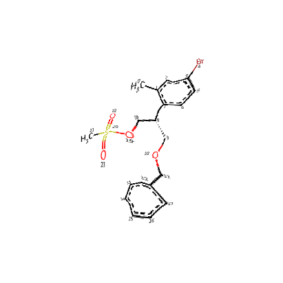 Cc1cc(Br)ccc1[C@H](COCc1ccccc1)COS(C)(=O)=O